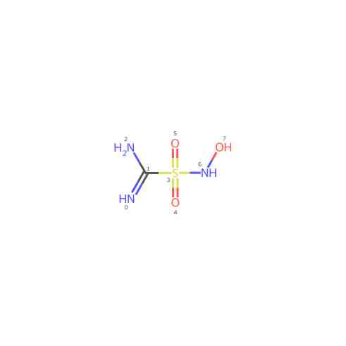 N=C(N)S(=O)(=O)NO